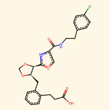 O=C(O)CCc1ccccc1C[C@H]1OCO[C@H]1c1nc(C(=O)NCCc2ccc(Cl)cc2)co1